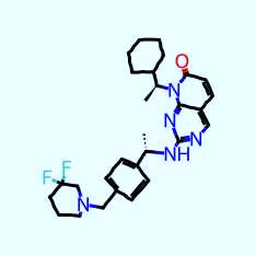 C[C@H](Nc1ncc2ccc(=O)n([C@@H](C)C3CCCCC3)c2n1)c1ccc(CN2CCCC(F)(F)C2)cc1